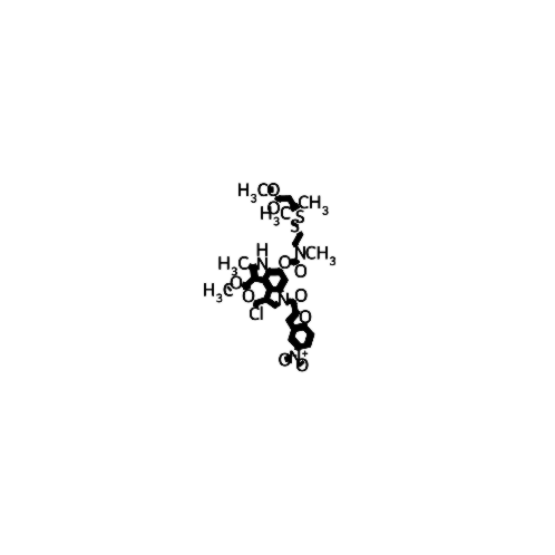 COC(=O)CC(C)(C)SSCCN(C)C(=O)Oc1cc2c(c3c(C(=O)OC)c(C)[nH]c13)C(CCl)CN2C(=O)c1cc2cc([N+](=O)[O-])ccc2o1